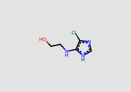 OCCNc1[nH]cnc1Cl